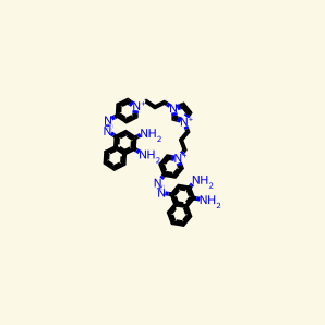 Nc1cc(/N=N\c2cc[n+](CCCn3cc[n+](CCC[n+]4ccc(/N=N\c5cc(N)c(N)c6ccccc56)cc4)c3)cc2)c2ccccc2c1N